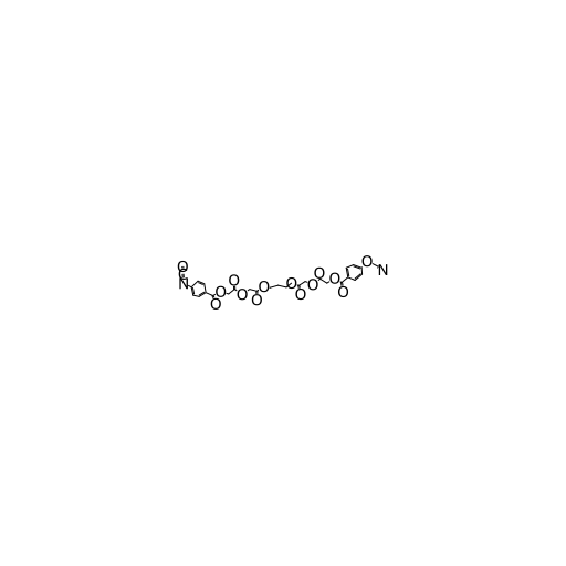 N#COc1ccc(C(=O)OCC(=O)OCC(=O)OCCCOC(=O)COC(=O)COC(=O)c2ccc(N=C=O)cc2)cc1